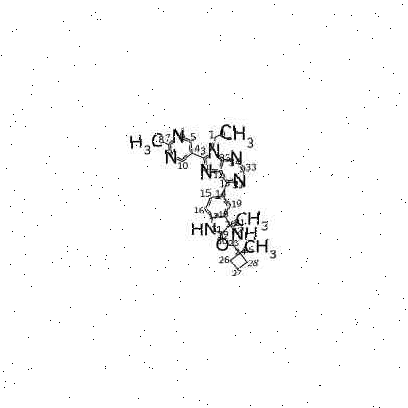 CCn1c(-c2cnc(C)nc2)nc2c(-c3ccc4c(c3)C(C)(NCC3(C)CCC3)C(=O)N4)ncnc21